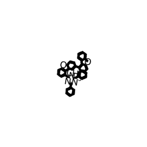 CC12C=C(c3cccc4oc5ccccc5c34)C=CC1Oc1cccc(-c3nc(-c4ccccc4)nc(-c4ccccc4)n3)c12